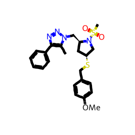 COc1ccc(CS[C@@H]2C[C@@H](Cn3nnc(-c4ccccc4)c3C)N(S(C)(=O)=O)C2)cc1